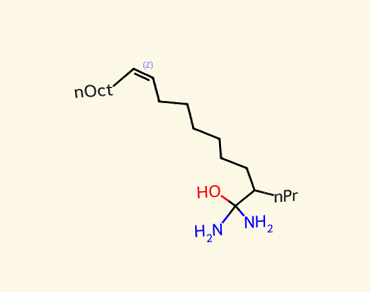 CCCCCCCC/C=C\CCCCCCC(CCC)C(N)(N)O